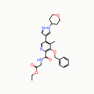 CCOC(=O)CNC(=O)c1ncc(-c2cnn(C3CCOCC3)c2)c(C)c1OCc1ccccc1